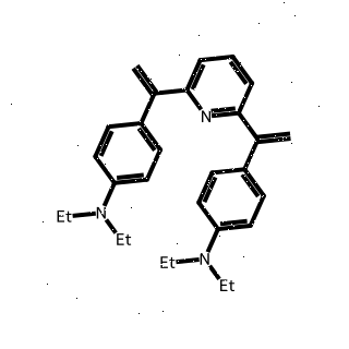 C=C(c1ccc(N(CC)CC)cc1)c1cccc(C(=C)c2ccc(N(CC)CC)cc2)n1